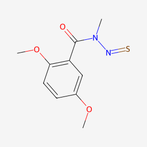 COc1ccc(OC)c(C(=O)N(C)N=S)c1